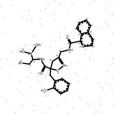 Cc1ccccc1CC1(C(=O)NC(CC(C)C)B(O)O)CC(CNC(=O)c2nccc3ccccc23)=NO1